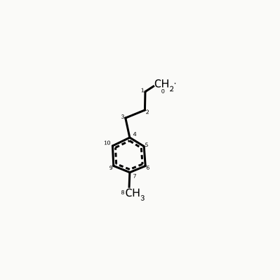 [CH2]CCCc1ccc(C)cc1